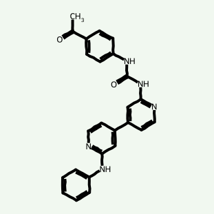 CC(=O)c1ccc(NC(=O)Nc2cc(-c3ccnc(Nc4ccccc4)c3)ccn2)cc1